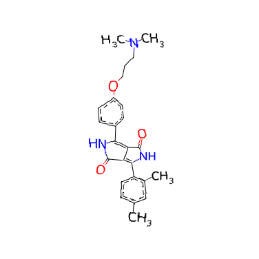 Cc1ccc(C2=C3C(=O)NC(c4ccc(OCCCN(C)C)cc4)=C3C(=O)N2)c(C)c1